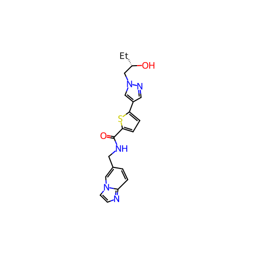 CC[C@H](O)Cn1cc(-c2ccc(C(=O)NCc3ccc4nccn4c3)s2)cn1